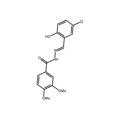 COc1ccc(C(=O)NN=Cc2cc(Cl)ccc2O)cc1OC